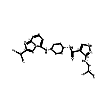 O=C(N[C@H]1CC[C@@H](Nc2cccc3nc(C(F)F)cn23)CC1)c1c[nH]nc1NCC(F)F